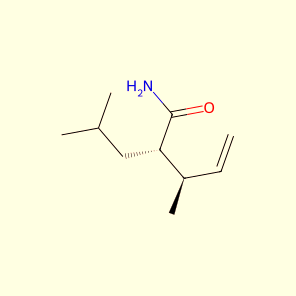 C=C[C@@H](C)[C@H](CC(C)C)C(N)=O